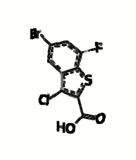 O=C(O)c1sc2c(F)cc(Br)cc2c1Cl